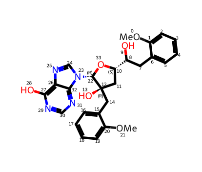 COc1ccccc1CC(O)[C@@H]1C[C@](O)(Cc2ccccc2OC)[C@H](n2cnc3c(O)ncnc32)O1